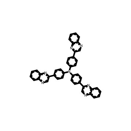 c1ccc2nc(-c3ccc(N(c4ccc(-c5cnc6ccccc6n5)cc4)c4ccc(-c5cnc6ccccc6n5)cc4)cc3)cnc2c1